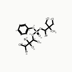 CC(CCl)(CCl)C(Br)OP(=O)(Oc1ccccc1)OC(Cl)C(Cl)(Br)C(Cl)Br